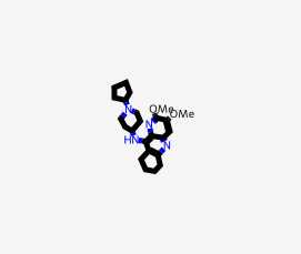 COc1cc2nc3c(c(NC4CCN(C5CCCC5)CC4)c2nc1OC)CCCC3